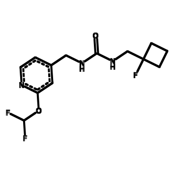 O=C(NCc1ccnc(OC(F)F)c1)NCC1(F)CCC1